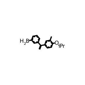 Bc1cccc(C(=C)c2ccc(OC(C)C)c(C)c2)c1